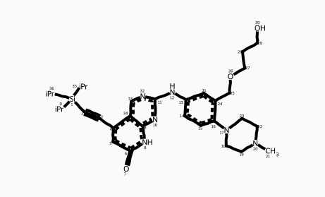 CC(C)[Si](C#Cc1cc(=O)[nH]c2nc(Nc3ccc(N4CCN(C)CC4)c(COCCCO)c3)ncc12)(C(C)C)C(C)C